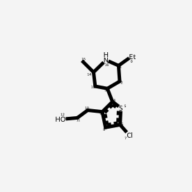 CCC1CC(c2sc(Cl)cc2CCO)CC(C)N1